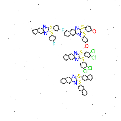 COc1ccc(Sc2nc3cc4ccccc4cc3nc2Sc2ccc(OC)cc2)cc1.Clc1ccc(Sc2nc3cc4ccccc4cc3nc2Sc2ccc(Cl)c(Cl)c2)cc1Cl.Fc1ccc(Sc2nc3cc4ccccc4cc3nc2Sc2ccc(F)cc2)cc1.c1ccc2cc(Sc3nc4cc5ccccc5cc4nc3Sc3ccc4ccccc4c3)ccc2c1